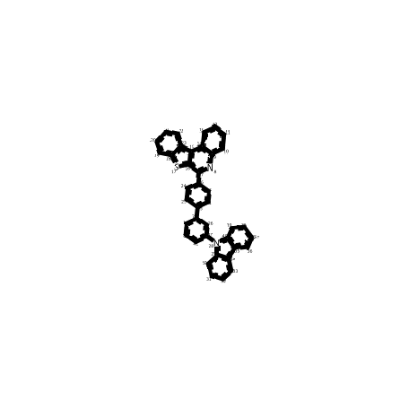 c1cc(-c2ccc(-c3nc4ccccc4c4c3sc3ccccc34)cc2)cc(-n2c3ccccc3c3ccccc32)c1